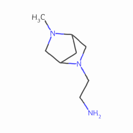 CN1CC2CC1CN2CCN